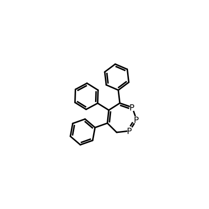 c1ccc(C2=PP=PCC(c3ccccc3)=C2c2ccccc2)cc1